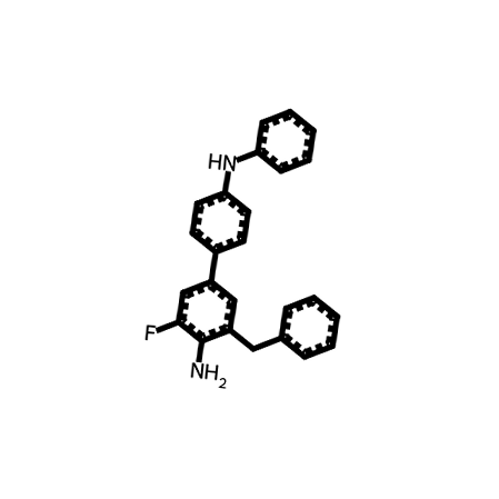 Nc1c(F)cc(-c2ccc(Nc3ccccc3)cc2)cc1Cc1ccccc1